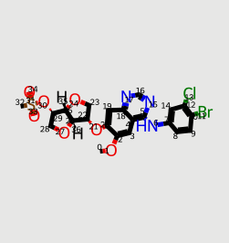 COc1cc2c(Nc3ccc(Br)c(Cl)c3)ncnc2cc1O[C@@H]1CO[C@@H]2[C@@H]1OC[C@@H]2OS(C)(=O)=O